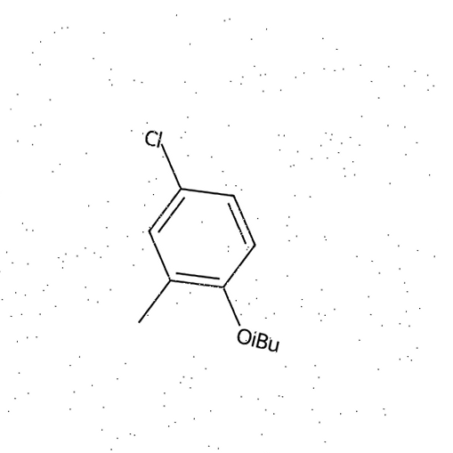 Cc1cc(Cl)ccc1OCC(C)C